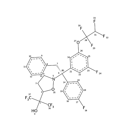 OC(C1CCN([C@](Cc2ccccc2)(c2ccc(F)cc2)c2cc(F)cc(OC(F)(F)C(F)F)c2)O1)(C(F)(F)F)C(F)(F)F